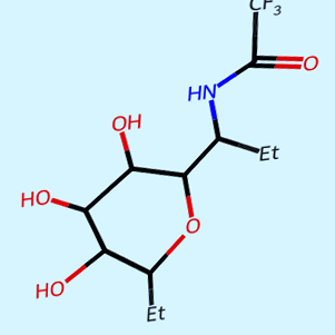 CCC(NC(=O)C(F)(F)F)C1OC(CC)C(O)C(O)C1O